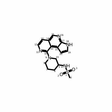 CS(=O)(=O)NC1CCCN(c2nccc3cnc4[nH]ccc4c23)C1